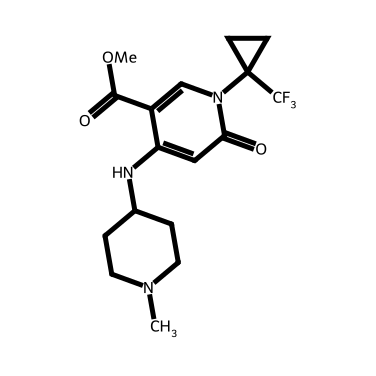 COC(=O)c1cn(C2(C(F)(F)F)CC2)c(=O)cc1NC1CCN(C)CC1